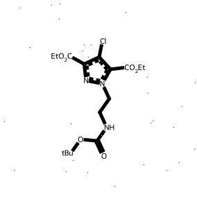 CCOC(=O)c1nn(CCNC(=O)OC(C)(C)C)c(C(=O)OCC)c1Cl